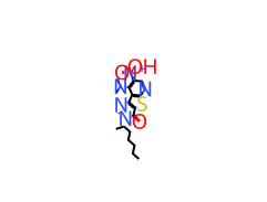 CCCCCC(C)n1cnc2c(sc3ncc([N+](=O)O)c(N(C)C)c32)c1=O